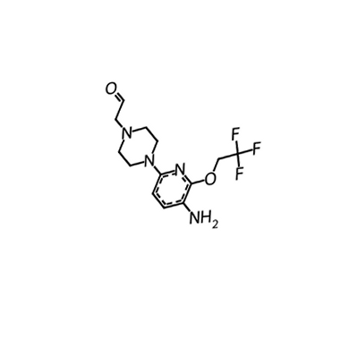 Nc1ccc(N2CCN(CC=O)CC2)nc1OCC(F)(F)F